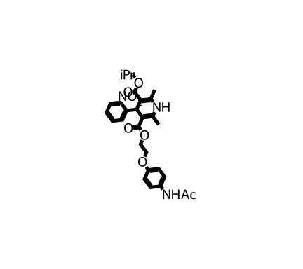 CC(=O)Nc1ccc(OCCOC(=O)C2=C(C)NC(C)=C(C(=O)OC(C)C)C2c2ccccc2[N+](=O)[O-])cc1